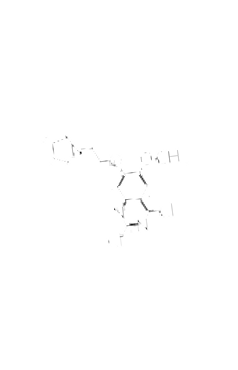 COc1cc2c(Cl)nc(Cl)nc2cc1OCCN1CCCC1